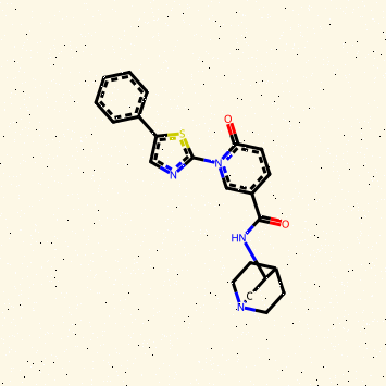 O=C(NC1CN2CCC1CC2)c1ccc(=O)n(-c2ncc(-c3ccccc3)s2)c1